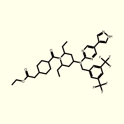 CCOC(=O)CC1CCC(C(=O)N2C(CC)CC(N(Cc3cc(C(F)(F)F)cc(C(F)(F)F)c3)c3ncc(-c4cn[nH]c4)cn3)CC2CC)CC1